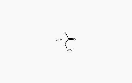 CCC(=O)CC=O.[Zr].[Zr]